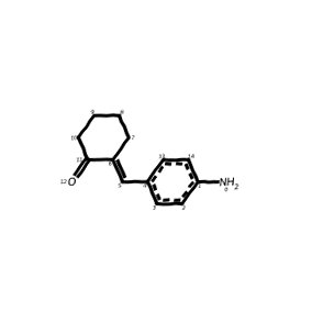 Nc1ccc(C=C2CCCCC2=O)cc1